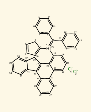 C1=CC[C]([Hf+2](=[C](c2ccccc2)c2ccccc2)[c]2cccc3c2c2c(c4ccccc43)-c3ccccc3C2)=C1.[Cl-].[Cl-]